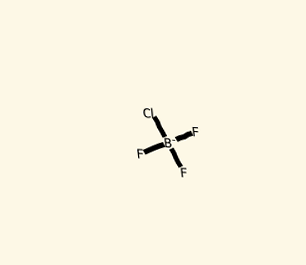 F[B-](F)(F)Cl